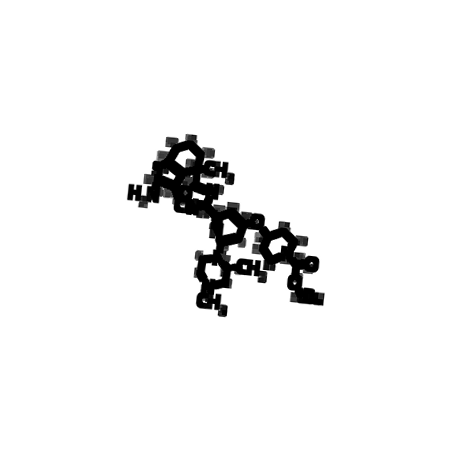 C[C@H]1CN(C)CCN1c1cc(OC2CCN(C(=O)OC(C)(C)C)CC2)cc(-c2noc(C3(C)CCCc4sc(N)c(C#N)c43)n2)n1